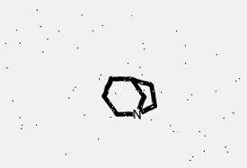 C1CC2CCN(C1)C2